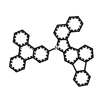 c1ccc2c(c1)-c1cccc3c1c-2cc1c3c2c3ccccc3ccc2n1-c1ccc2c3ccccc3c3ccccc3c2c1